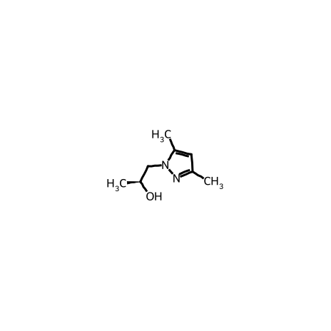 Cc1cc(C)n(C[C@H](C)O)n1